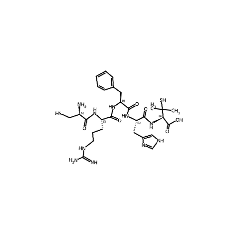 CC(C)(S)[C@H](NC(=O)[C@H](Cc1c[nH]cn1)NC(=O)[C@H](Cc1ccccc1)NC(=O)[C@H](CCCNC(=N)N)NC(=O)[C@H](N)CS)C(=O)O